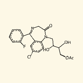 CC(=O)OCC(O)C(O)CN1C(=O)CN=C(c2ccccc2F)c2cc(Cl)ccc21